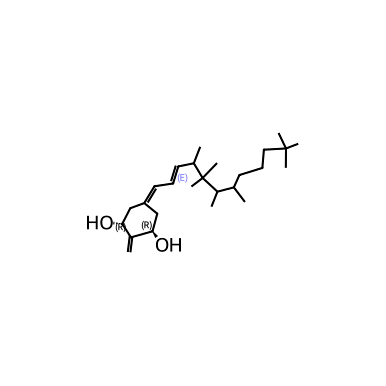 C=C1[C@H](O)CC(=C/C=C/C(C)C(C)(C)C(C)C(C)CCCC(C)(C)C)C[C@H]1O